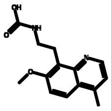 COc1ccc2c(C)ccnc2c1CCNC(=O)O